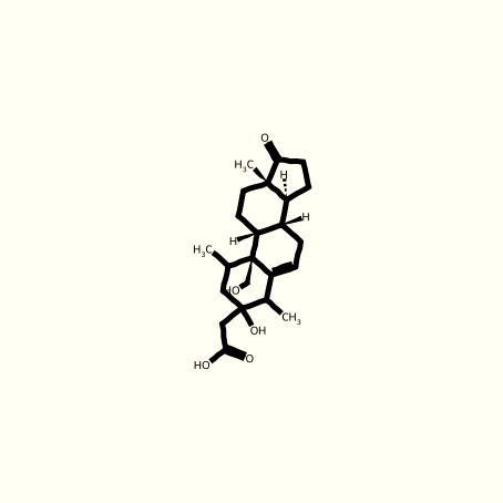 CC1C2=CC[C@@H]3[C@@H](CC[C@]4(C)C(=O)CC[C@@H]34)[C@@]2(CO)C(C)CC1(O)CC(=O)O